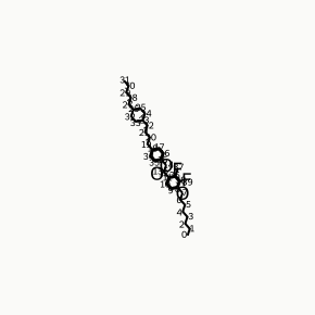 CCCCCCCOc1ccc(C(=O)Oc2ccc(CCCCC3CCC(CCCCC)CC3)cc2)c(F)c1F